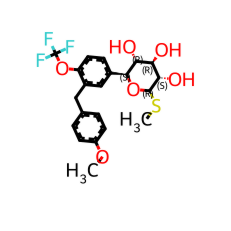 COc1ccc(Cc2cc([C@@H]3O[C@H](SC)[C@@H](O)[C@H](O)[C@H]3O)ccc2OC(F)(F)F)cc1